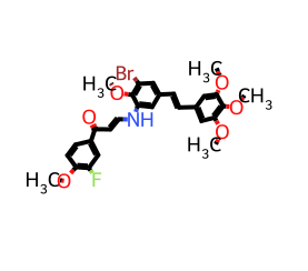 COc1ccc(C(=O)C=CNc2cc(C=Cc3cc(OC)c(OC)c(OC)c3)cc(Br)c2OC)cc1F